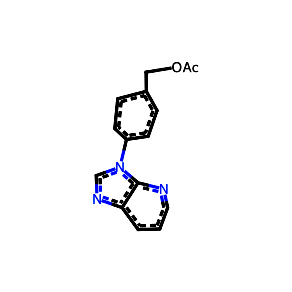 CC(=O)OCc1ccc(-n2cnc3cccnc32)cc1